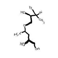 CCC(C)(O)C(O)COC(C)CC(O)CO